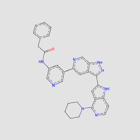 O=C(Cc1ccccc1)Nc1cncc(-c2cc3c(-c4cc5c(N6CCCCC6)nccc5[nH]4)n[nH]c3cn2)c1